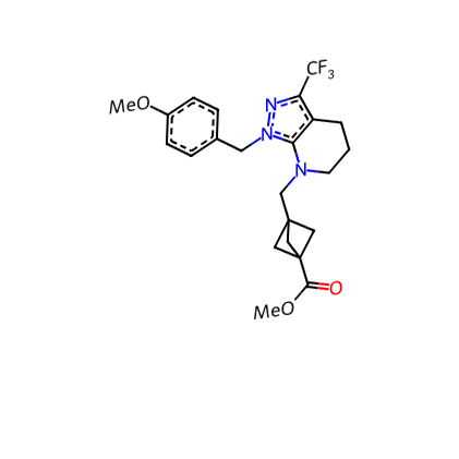 COC(=O)C12CC(CN3CCCc4c(C(F)(F)F)nn(Cc5ccc(OC)cc5)c43)(C1)C2